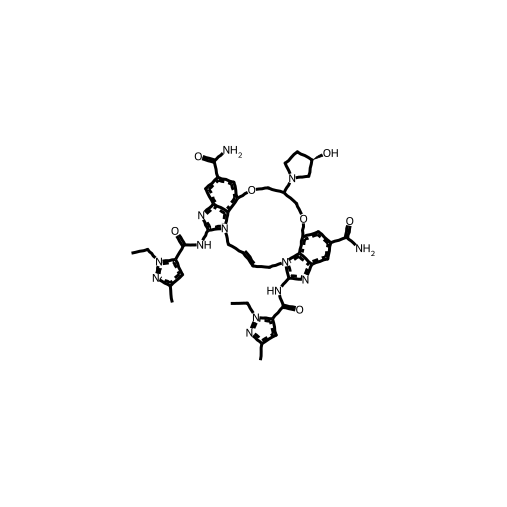 CCn1nc(C)cc1C(=O)Nc1nc2cc(C(N)=O)cc3c2n1C/C=C/Cn1c(NC(=O)c2cc(C)nn2CC)nc2cc(C(N)=O)cc(c21)OCC(N1CC[C@@H](O)C1)CO3